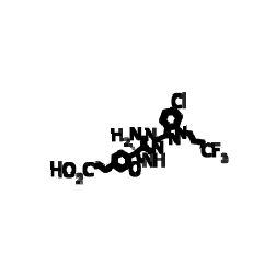 C[C@@]1(c2ccc(CCC(=O)O)cc2)C(=O)Nc2nc(-c3nn(CCCC(F)(F)F)c4cc(Cl)ccc34)nc(N)c21